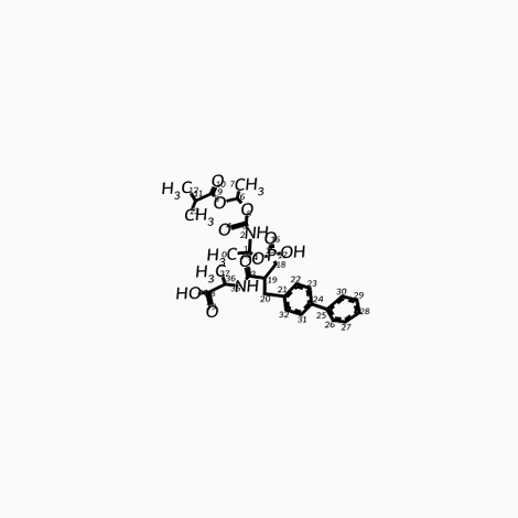 CC(NC(=O)OC(C)OC(=O)C(C)C)OP(=O)(O)CC(Cc1ccc(-c2ccccc2)cc1)C(=O)NC(C)C(=O)O